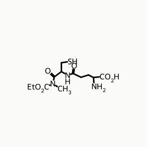 CCOC(=O)N(C)C(=O)C(CS)NC(=O)CCC(N)C(=O)O